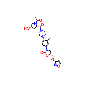 CC(=O)N1C[C@H](O)C[C@H]1C(=O)N1CCN(c2ccc(N3C[C@H](COc4ccon4)OC3=O)cc2F)CC1